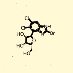 OC[C@H]1OC(c2c(Cl)c(Cl)cc3[nH]c(Br)nc23)[C@H](O)[C@@H]1O